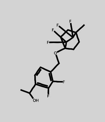 CC(O)c1ccc(COC23CCC(C)(CC2)C(F)(F)C3(F)F)c(F)c1F